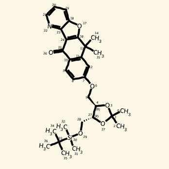 CC1(C)O[C@H](COc2ccc3c(c2)C(C)(C)c2oc4cccnc4c2C3=O)[C@@H](CO[Si](C)(C)C(C)(C)C)O1